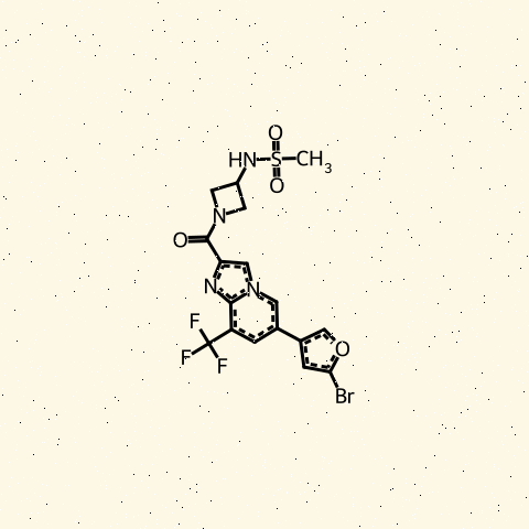 CS(=O)(=O)NC1CN(C(=O)c2cn3cc(-c4coc(Br)c4)cc(C(F)(F)F)c3n2)C1